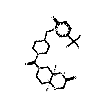 O=C1CO[C@H]2CCN(C(=O)N3CCC(Cn4cc(C(F)(F)F)ccc4=O)CC3)C[C@H]2N1